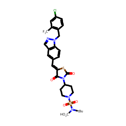 CC(C)(C)N(C(=O)O)S(=O)(=O)N1CCC(N2C(=O)S/C(=C\c3ccc4c(cnn4Cc4ccc(Cl)cc4C(F)(F)F)c3)C2=O)CC1